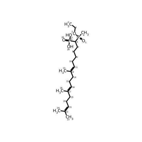 CCOP(C)(=O)C(CCCC/C=C(\C)CC/C=C(\C)CCC=C(C)C)P(=O)(O)O